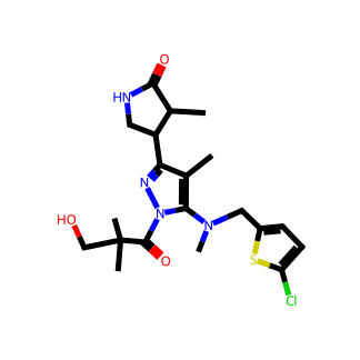 Cc1c(C2CNC(=O)C2C)nn(C(=O)C(C)(C)CO)c1N(C)Cc1ccc(Cl)s1